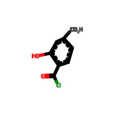 O=C(O)c1ccc(C(=O)Cl)c(O)c1